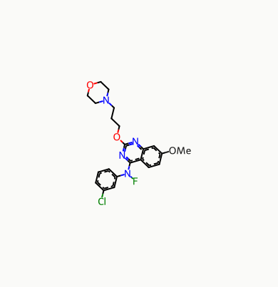 COc1ccc2c(N(F)c3cccc(Cl)c3)nc(OCCCN3CCOCC3)nc2c1